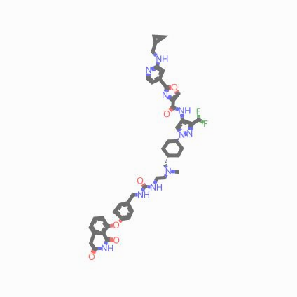 CN(CCNC(=O)NCc1ccc(Oc2cccc3c2C(=O)NC(=O)C3)cc1)C[C@H]1CC[C@@H](n2cc(NC(=O)c3coc(-c4ccnc(NCC5CC5)c4)n3)c(C(F)F)n2)CC1